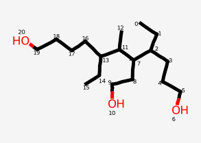 CCC(CCCO)[C](CCO)C(C)C(CC)CCCCO